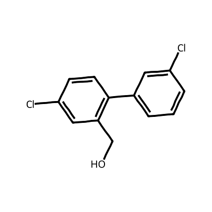 OCc1cc(Cl)ccc1-c1cccc(Cl)c1